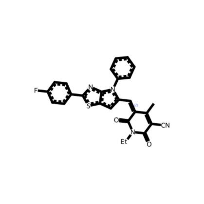 CCN1C(=O)C(C#N)=C(C)/C(=C/c2cc3sc(-c4ccc(F)cc4)nc3n2-c2ccccc2)C1=O